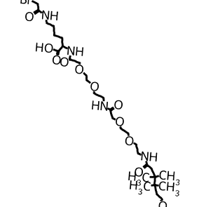 CC(C)(CC=O)C(C)(C)CC(=O)NCCOCCOCC(=O)NCCOCCOCC(=O)NC(CCCCNC(=O)CBr)C(=O)O